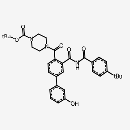 CC(C)(C)OC(=O)N1CCN(C(=O)c2ccc(-c3cccc(O)c3)cc2C(=O)NC(=O)c2ccc(C(C)(C)C)cc2)CC1